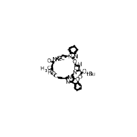 C[C@@H]1CC(=O)N2CCC(CC2)n2c(nc3ccccc32)O[C@H]2C[C@@H](C(=O)OC(C)(C)C)N(C2)c2nc(nc3c2oc2ccccc23)C=CCO1